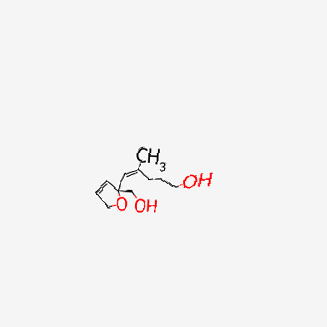 C/C(=C/[C@@]1(CO)C=CCO1)CCCO